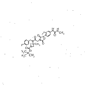 CNC(=O)Nc1ccc2c(c1)CC[C@@]21OC(=O)N(CC(=O)N(Cc2ccc(F)cc2)C2(C)CN(C(=O)OC(C)(C)C)C2)C1=O